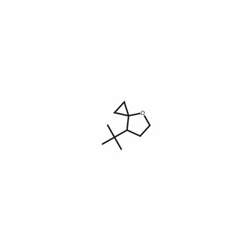 CC(C)(C)C1CCOC12CC2